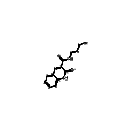 O=C(NCCCBr)c1cc2ccccc2[nH]c1=O